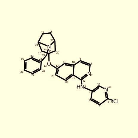 Clc1ccc(Nc2nccc3cc(OC4CC5CCC(C4)N5Cc4ccccc4)ccc23)cn1